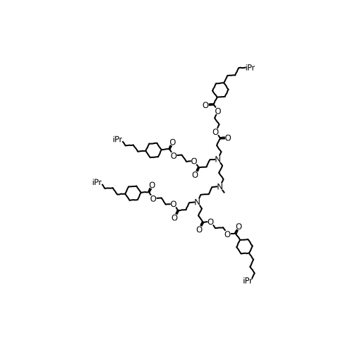 CC(C)CCCC1CCC(C(=O)OCCOC(=O)CCN(CCCN(C)CCCN(CCC(=O)OCCOC(=O)C2CCC(CCCC(C)C)CC2)CCC(=O)OCCOC(=O)C2CCC(CCCC(C)C)CC2)CCC(=O)OCCOC(=O)C2CCC(CCCC(C)C)CC2)CC1